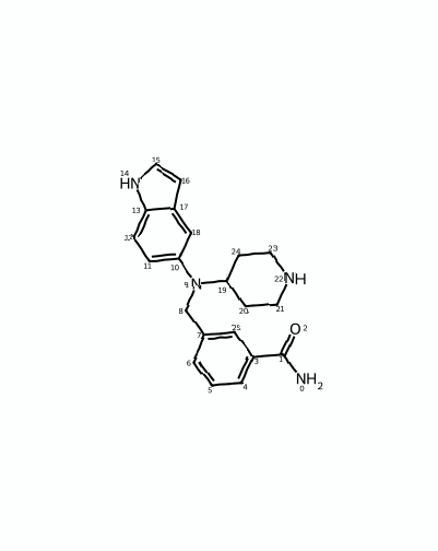 NC(=O)c1cccc(CN(c2ccc3[nH]ccc3c2)C2CCNCC2)c1